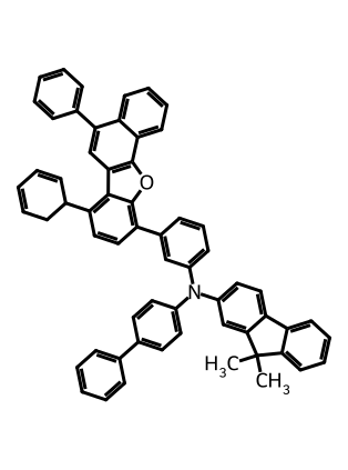 CC1(C)c2ccccc2-c2ccc(N(c3ccc(-c4ccccc4)cc3)c3cccc(-c4ccc(C5C=CC=CC5)c5c4oc4c6ccccc6c(-c6ccccc6)cc45)c3)cc21